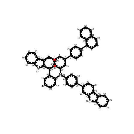 c1cc(-c2ccc(-c3cccc4ccccc34)cc2)cc(N(c2ccc(-c3ccc4c(c3)oc3ccccc34)cc2)c2ccccc2-c2cccc3c2sc2ccccc23)c1